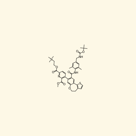 COC(=O)c1nc(C(=O)OCC[Si](C)(C)C)ccc1-c1cc2c(cc1C(=O)Nc1c(C)cc(CNC(=O)OC(C)(C)C)cc1C)-c1sccc1CCO2